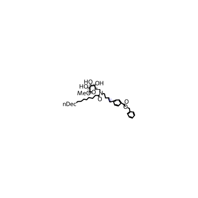 CCCCCCCCCCCCCCCCCC(=O)N(CC/C=C/c1ccc(C(=O)OCc2ccccc2)cc1)C[C@H]1O[C@H](OC)[C@H](O)[C@@H](O)[C@@H]1O